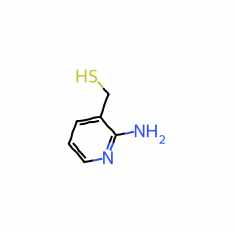 Nc1ncccc1CS